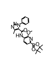 COc1nc(B2OC(C)(C)C(C)(C)O2)ccc1NC(=O)c1c(C)nnn1-c1ccccc1